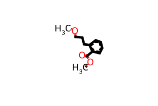 COCCCc1ccccc1C(=O)OC